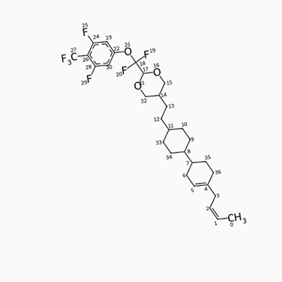 C/C=C\CC1=CCC(C2CCC(CCC3COC(C(F)(F)Oc4cc(F)c(C(F)(F)F)c(F)c4)OC3)CC2)CC1